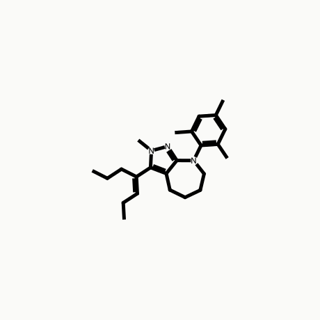 CCC=C(CCC)c1c2c(nn1C)N(c1c(C)cc(C)cc1C)CCCC2